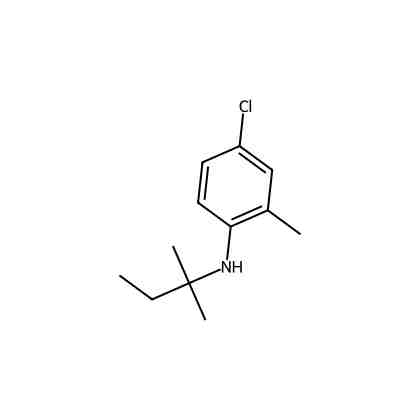 CCC(C)(C)Nc1ccc(Cl)cc1C